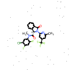 Cc1cc(C(F)(F)F)cc(N2C(=O)c3ccccc3[C@H]2C(=O)N(C)c2cc(Cl)c(F)cc2F)n1